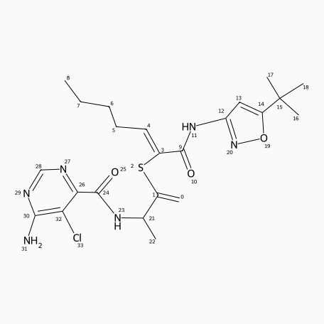 C=C(S/C(=C\CCCC)C(=O)Nc1cc(C(C)(C)C)on1)C(C)NC(=O)c1ncnc(N)c1Cl